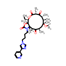 CC[C@H]1OC(=O)[C@H](C)C(=O)[C@H](C)[C@@H](C)[C@](C)(OC)C[C@@H](C)C(=O)[C@H](C)C2(C)N(CCCCn3cnc(-c4cccnc4)c3)C(=O)O[C@]12C